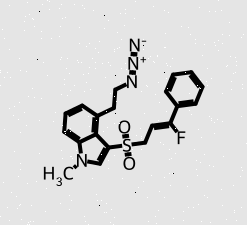 Cn1cc(S(=O)(=O)CC=C(F)c2ccccc2)c2c(CCN=[N+]=[N-])cccc21